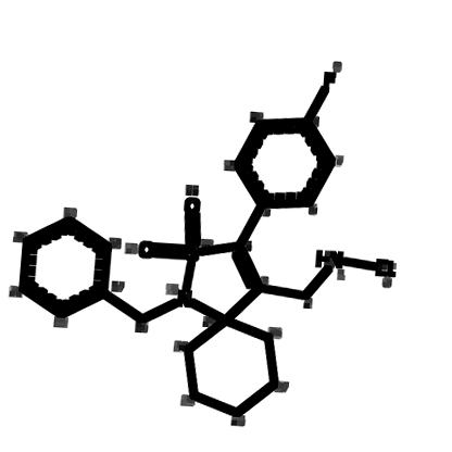 CCNCC1=C(c2ccc(F)cc2)S(=O)(=O)N(Cc2ccccc2)C12CCCCC2